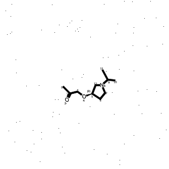 CC(=O)CO[C@@H]1CCN(C(C)C)C1